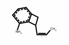 C/C=C\C1Cc2cccc(N)c21